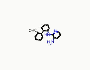 Nc1cccnc1Nc1ccccc1-c1ccccc1C=O